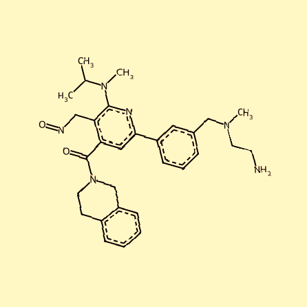 CC(C)N(C)c1nc(-c2cccc(CN(C)CCN)c2)cc(C(=O)N2CCc3ccccc3C2)c1CN=O